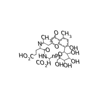 CCCC(NC(=O)C(CCC(=O)O)/N=C(/C)Cc1cc(=O)c2c(C)cc(O)c(C3OC(CO)C(O)C(O)C3O)c2o1)C(=O)O